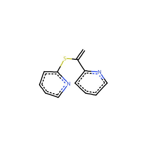 C=C(Sc1ccccn1)c1ccccn1